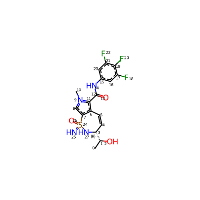 CC(O)[C@H]1C=Cc2c(cn(C)c2C(=O)Nc2cc(F)c(F)c(F)c2)S(=N)(=O)N1